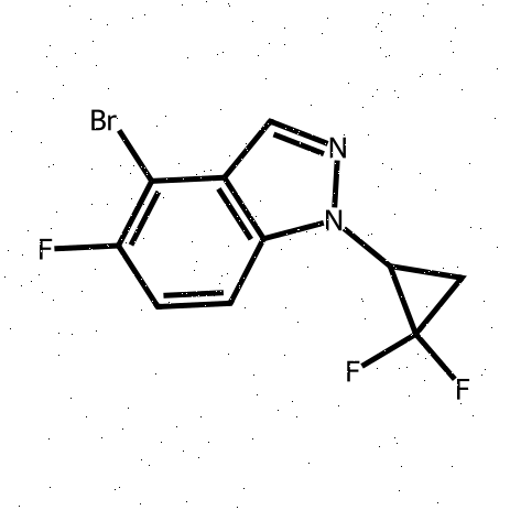 Fc1ccc2c(cnn2C2CC2(F)F)c1Br